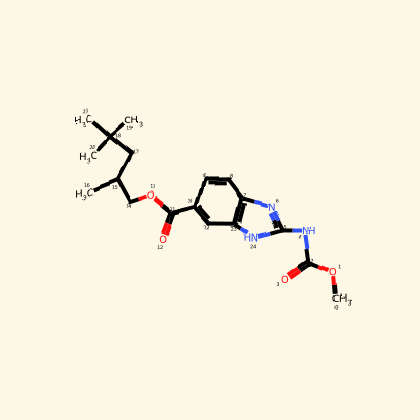 COC(=O)Nc1nc2ccc(C(=O)OCC(C)CC(C)(C)C)cc2[nH]1